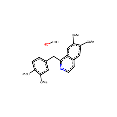 COc1ccc(Cc2nccc3cc(OC)c(OC)cc23)cc1OC.O=CO